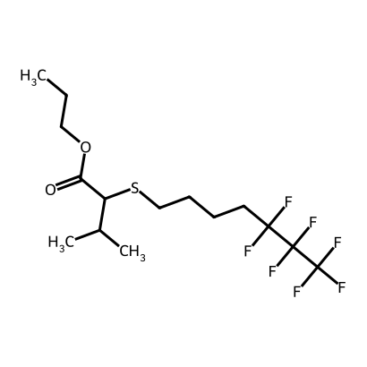 CCCOC(=O)C(SCCCCC(F)(F)C(F)(F)C(F)(F)F)C(C)C